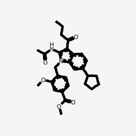 CCCC(=O)c1c(NC(C)=O)n(Cc2ccc(C(=O)OC)cc2OC)c2cc(C3CCCC3)ccc12